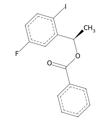 C[C@@H](OC(=O)c1ccccc1)c1cc(F)ccc1I